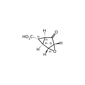 O=C(O)[C@@H]1[C@H]2C(=O)[C@@H]3O[C@@H]3[C@@H]12